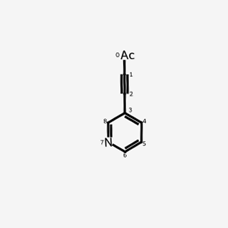 CC(=O)C#Cc1cccnc1